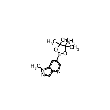 Cn1ncc2ncc(B3OC(C)(C)C(C)(C)O3)cc21